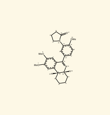 COc1cc2c(cc1OC)[C@H]1CCCC[C@H]1N=C2c1ccc(OC)c(N2CCCC2=O)c1